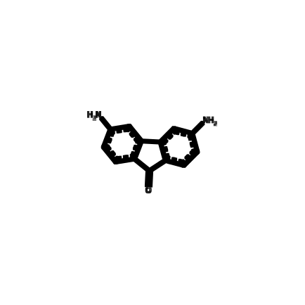 Nc1ccc2c(c1)-c1cc(N)ccc1C2=O